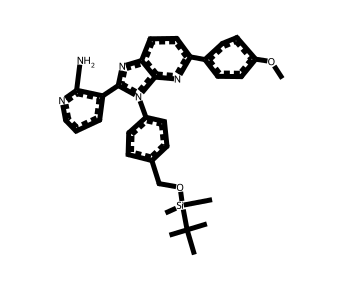 COc1ccc(-c2ccc3nc(-c4cccnc4N)n(-c4ccc(CO[Si](C)(C)C(C)(C)C)cc4)c3n2)cc1